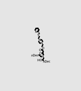 CCCCCCCCCCC(O)CN(CCCC(=O)OCCN1CCN(CCSSc2ccccn2)CC1)CC(O)CCCCCCCCCC